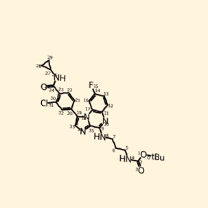 CC(C)(C)OC(=O)NCCCNc1nc2ccc(F)cc2n2c(-c3ccc(C(=O)NC4CC4)c(Cl)c3)cnc12